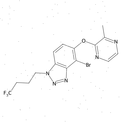 Cc1nccnc1Oc1ccc2c(nnn2CCCC(F)(F)F)c1Br